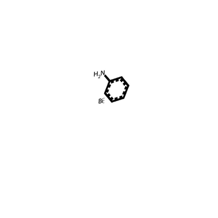 Nc1ccccc1.[Bi]